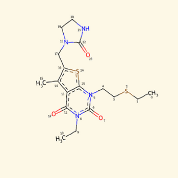 CCSCCn1c(=O)n(CC)c(=O)c2c(C)c(CN3CCNC3=O)sc21